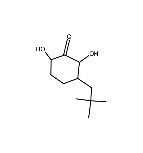 CC(C)(C)CC1CCC(O)C(=O)C1O